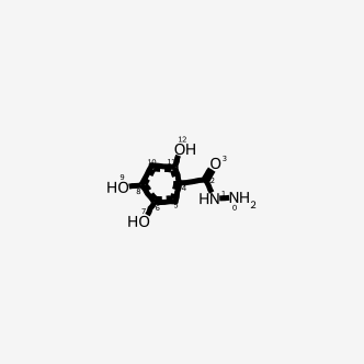 NNC(=O)c1cc(O)c(O)cc1O